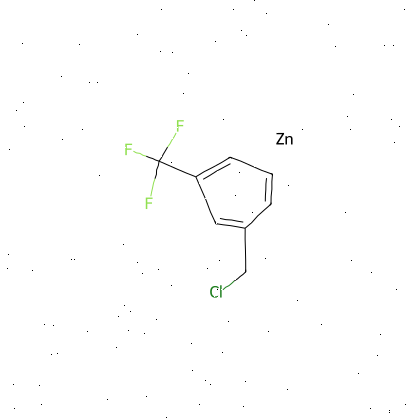 FC(F)(F)c1cccc(CCl)c1.[Zn]